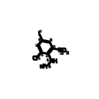 CCCNc1c(Cl)cc(I)cc1[N+](=O)[O-]